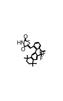 CCc1cccc(C=C2SC(=O)NC2=O)c1-c1cc2c(cc1C(F)(F)F)C(C)(C)CCC2(C)C